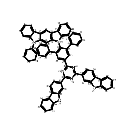 C1=CC(n2c3ccccc3c3cc4c5ccccc5n(-c5c(-c6ccccc6)cc(-c6nc(-c7ccc8c(c7)oc7ccccc78)nc(-c7ccc8c(c7)oc7ccccc78)n6)cc5-c5ccccc5)c4cc32)=CCC1